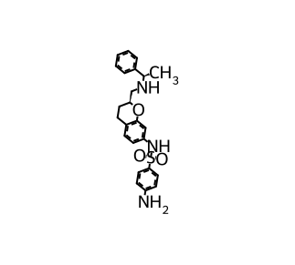 C[C@@H](NC[C@@H]1CCc2ccc(NS(=O)(=O)c3ccc(N)cc3)cc2O1)c1ccccc1